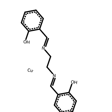 Oc1ccccc1C=NCCN=Cc1ccccc1O.[Cu]